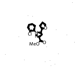 COC(=O)c1cc(-c2ccco2)n(-c2ccccc2Cl)n1